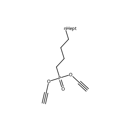 C#COP(=O)(CCCCCCCCCCC)OC#C